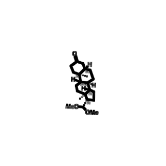 COC(OC)[C@H]1CC[C@H]2[C@@H]3CC[C@H]4CC(=O)CC[C@]4(C)[C@H]3CC[C@]12C